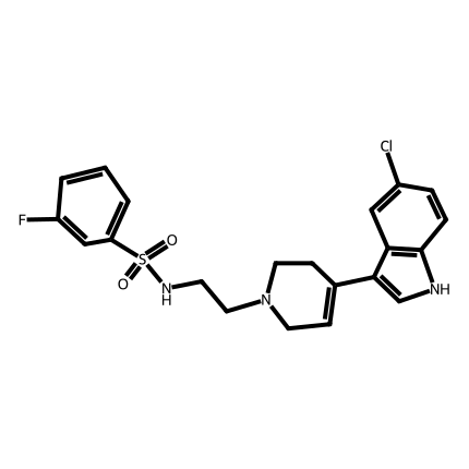 O=S(=O)(NCCN1CC=C(c2c[nH]c3ccc(Cl)cc23)CC1)c1cccc(F)c1